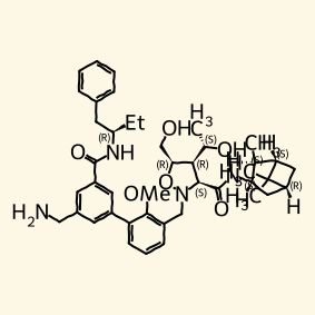 CC[C@H](Cc1ccccc1)NC(=O)c1cc(CN)cc(-c2cccc(CN3O[C@@H](CO)[C@@H]([C@H](C)O)[C@H]3C(=O)N[C@H]3C[C@H]4C[C@@H]([C@@H]3C)C4(C)C)c2OC)c1